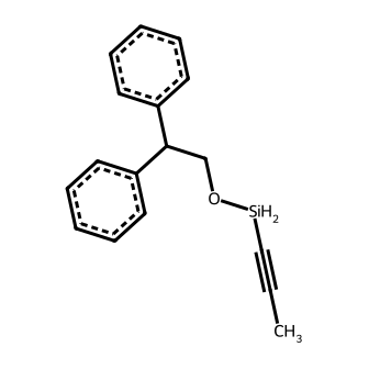 CC#C[SiH2]OCC(c1ccccc1)c1ccccc1